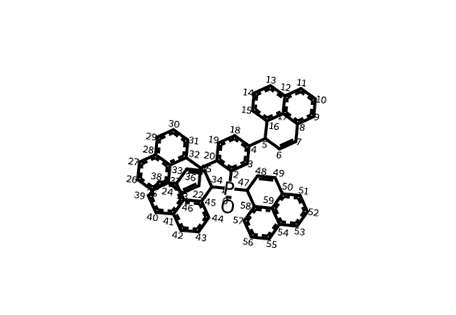 O=P(c1cc(C2C=Cc3cccc4cccc2c34)ccc1C1C=Cc2cccc3cccc1c23)(C1C=Cc2cccc3cccc1c23)C1C=Cc2cccc3cccc1c23